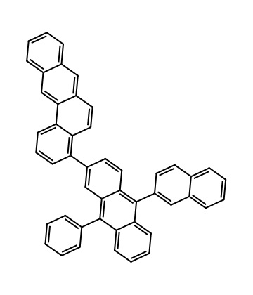 c1ccc(-c2c3ccccc3c(-c3ccc4ccccc4c3)c3ccc(-c4cccc5c4ccc4cc6ccccc6cc45)cc23)cc1